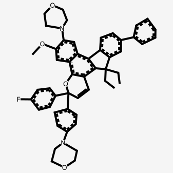 CCC1(CC)c2cc(-c3ccccc3)ccc2-c2c1c1c(c3cc(OC)c(N4CCOCC4)cc23)OC(c2ccc(F)cc2)(c2ccc(N3CCOCC3)cc2)C=C1